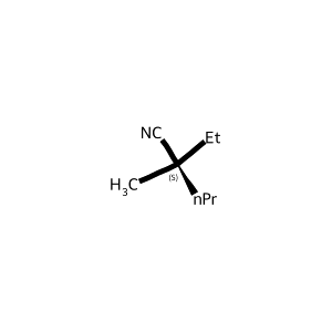 CCC[C@@](C)(C#N)CC